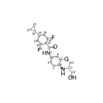 O=C(Nc1ccc2c(c1)OCC(CO)N2)c1c(F)cc(C2CC2)cc1F